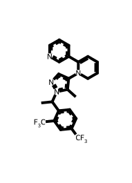 Cc1c(N2CC=CC=C2c2cccnc2)cnn1C(C)c1ccc(C(F)(F)F)cc1C(F)(F)F